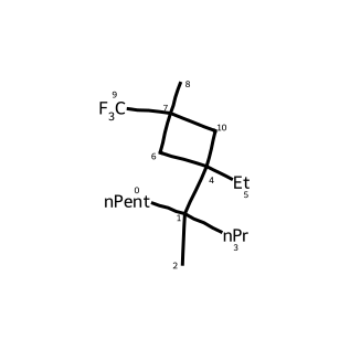 CCCCCC(C)(CCC)C1(CC)CC(C)(C(F)(F)F)C1